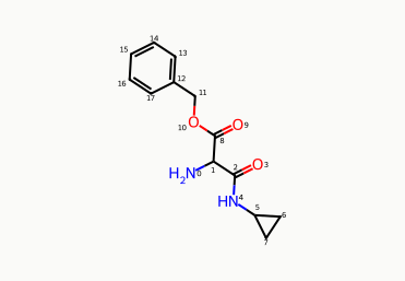 NC(C(=O)NC1CC1)C(=O)OCc1ccccc1